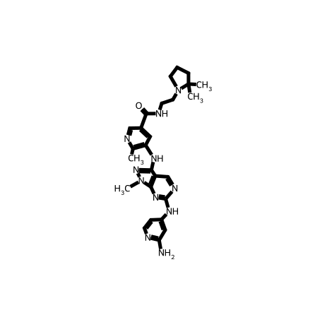 Cc1ncc(C(=O)NCCN2CCCC2(C)C)cc1Nc1nn(C)c2nc(Nc3ccnc(N)c3)ncc12